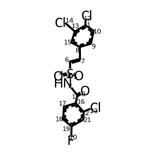 O=C(NS(=O)(=O)C=Cc1ccc(Cl)c(Cl)c1)c1ccc(F)cc1Cl